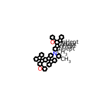 CCCCCCCC1(CCCCCCC)c2cc(N(c3ccc4c(c3)C3(c5ccccc5-c5ccccc53)c3cc5c(cc3-4)C3(c4ccccc4-c4ccccc43)c3ccc4oc6ccccc6c4c3-5)c3ccc(C)cc3C)ccc2-c2c1c1c(c3c2oc2ccccc23)-c2ccccc2C1(CCCCCCC)CCCCCCC